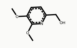 COc1ccc(CO)nc1OC